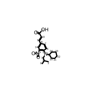 CC(C)CN(c1ccc(C=CC(=O)O)cc1[N+](=O)[O-])C1CCCCC1